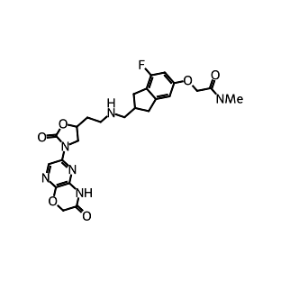 CNC(=O)COc1cc(F)c2c(c1)CC(CNCCC1CN(c3cnc4c(n3)NC(=O)CO4)C(=O)O1)C2